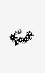 Cc1ncnc(C)c1C(=O)N1CCC(C)(N2CCC(N(Cc3ccccc3F)C(=O)C3CC3)CC2)CC1.Cl.Cl